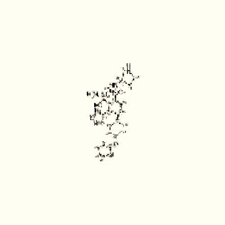 NS(=O)(=O)c1c(S(=O)(=O)N[C@@H]2CCNC2)ccc(N2CCC(Oc3ccccn3)CC2)c1-c1nnn[nH]1